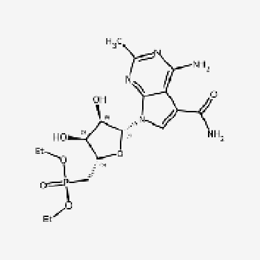 CCOP(=O)(C[C@H]1O[C@@H](n2cc(C(N)=O)c3c(N)nc(C)nc32)[C@H](O)[C@@H]1O)OCC